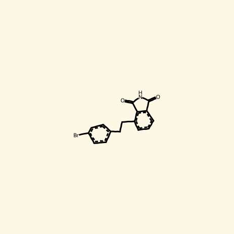 O=C1NC(=O)c2c(CCc3ccc(Br)cc3)cccc21